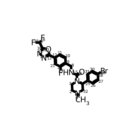 CN1CCN(C(=O)NCc2ccc(-c3nnc(C(F)F)o3)cc2F)C(c2ccc(Br)cc2)C1